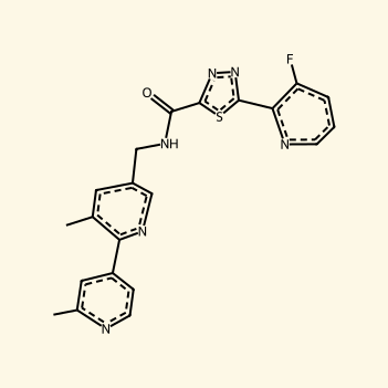 Cc1cc(-c2ncc(CNC(=O)c3nnc(-c4ncccc4F)s3)cc2C)ccn1